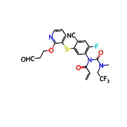 C=CC(=O)N(C(=O)N(C)CC(F)(F)F)c1cc(Sc2cccnc2OCCC=O)c(C#N)cc1F